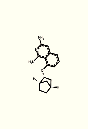 Nc1nc(N)c2c(O[C@@H]3C[C@@H]4CC[C@@H]3C4)cccc2n1